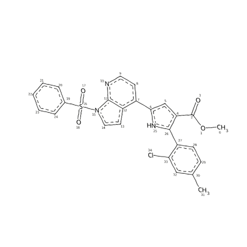 COC(=O)c1cc(-c2ccnc3c2ccn3S(=O)(=O)c2ccccc2)[nH]c1-c1ccc(C)cc1Cl